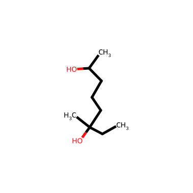 CCC(C)(O)CCCC(C)O